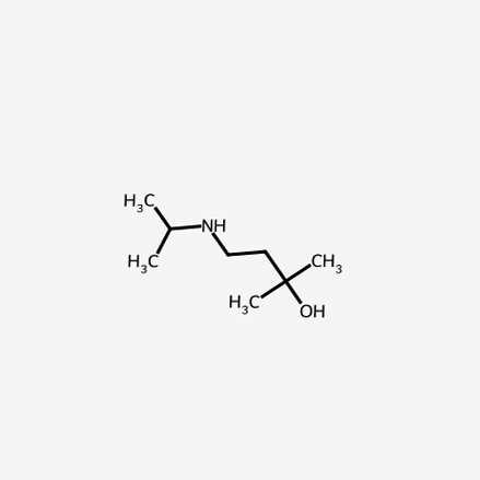 CC(C)NCCC(C)(C)O